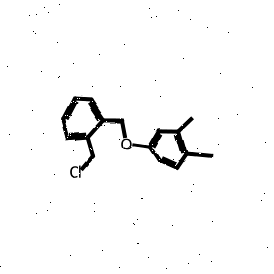 Cc1ccc(OCc2ccccc2CCl)cc1C